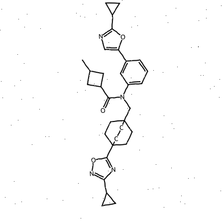 CC1CC(C(=O)N(CC23CCC(c4nc(C5CC5)no4)(CC2)CC3)c2cccc(-c3cnc(C4CC4)o3)c2)C1